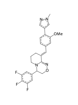 COc1cc(/C=C2\CCCN3C2=NOCC3c2cc(F)c(F)c(F)c2)ccc1-c1cnn(C)c1